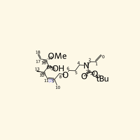 C=CCN(CCCOC/C(C)=C\[C@@H](C)[C@H](O)[C@H](C=C)OC)C(=O)OC(C)(C)C